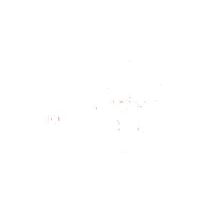 CC(=CCCC(C)=CCO)C=C(C1=C(C)CCCC1(C)C)S(=O)(=O)c1ccc(C)cc1